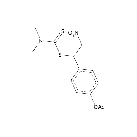 CC(=O)Oc1ccc(C(C[N+](=O)[O-])SC(=S)N(C)C)cc1